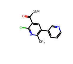 COC(=O)c1cc(-c2cccnc2)c(C)nc1Cl